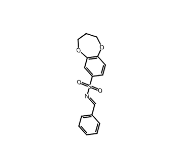 O=S(=O)(N=Cc1ccccc1)c1ccc2c(c1)OCCCO2